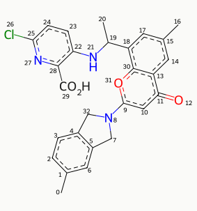 Cc1ccc2c(c1)CN(c1cc(=O)c3cc(C)cc(C(C)Nc4ccc(Cl)nc4C(=O)O)c3o1)C2